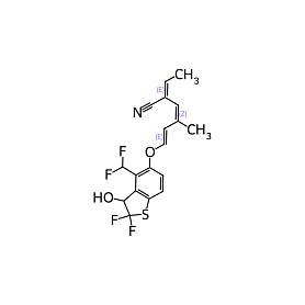 C\C=C(C#N)/C=C(C)\C=C\Oc1ccc2c(c1C(F)F)C(O)C(F)(F)S2